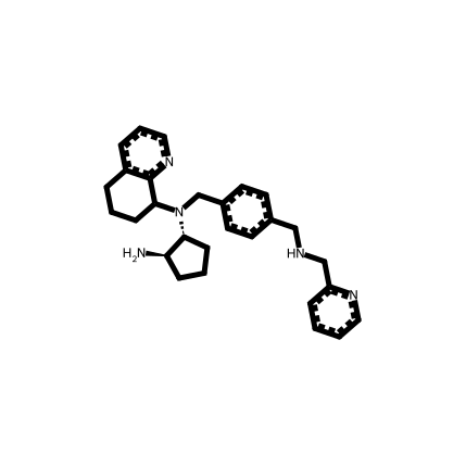 N[C@@H]1CCC[C@H]1N(Cc1ccc(CNCc2ccccn2)cc1)C1CCCc2cccnc21